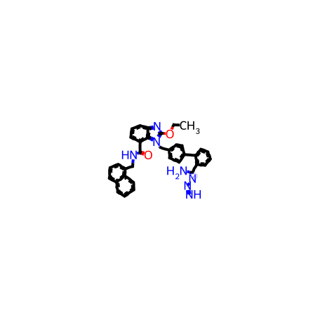 CCOc1nc2cccc(C(=O)NCc3cccc4ccccc34)c2n1Cc1ccc(-c2ccccc2/C(N)=N/N=N)cc1